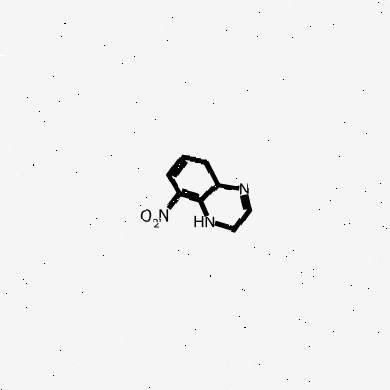 O=[N+]([O-])C1=C2NCC=NC2CC=C1